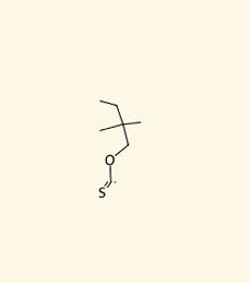 CCC(C)(C)CO[C]=S